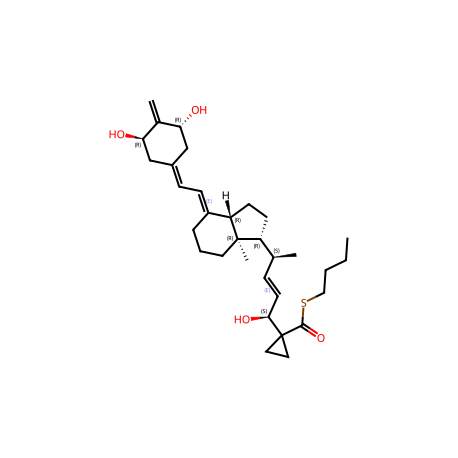 C=C1[C@H](O)CC(=C/C=C2\CCC[C@]3(C)[C@@H]([C@@H](C)/C=C/[C@H](O)C4(C(=O)SCCCC)CC4)CC[C@@H]23)C[C@H]1O